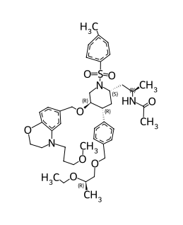 CCO[C@H](C)COCc1ccc([C@H]2C[C@@H](C[C@@H](C)NC(C)=O)N(S(=O)(=O)c3ccc(C)cc3)C[C@@H]2OCc2ccc3c(c2)N(CCCOC)CCO3)cc1